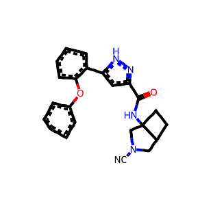 N#CN1CC2CCC2(NC(=O)c2cc(-c3ccccc3Oc3ccccc3)[nH]n2)C1